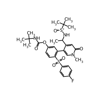 CC(N[S@@+]([O-])C(C)(C)C)c1cc(=O)n(C)cc1-c1cc(OC(=O)NC(C)(C)C)ccc1S(=O)(=O)c1ccc(F)cc1